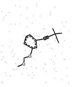 COCOc1cccc(C#CC(C)(C)C)c1